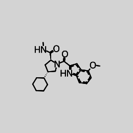 CNC(=O)[C@@H]1C[C@@H](C2CCCCC2)CN1C(=O)c1cc2c(OC)cccc2[nH]1